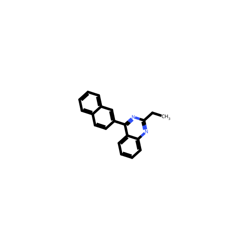 CCc1nc(-c2ccc3ccccc3c2)c2ccccc2n1